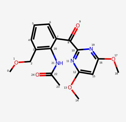 COCc1cccc(C(=O)c2nc(OC)cc(OC)n2)c1NC(C)=O